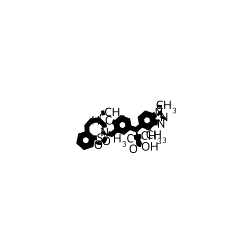 CC[C@H]1CCc2ccccc2S(=O)(=O)N(Cc2cc([C@@H](c3ccc4c(nnn4C)c3C)C(C)(C)C(=O)O)ccc2C)C1